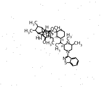 CC1C(C)[C@@H]2[C@H]3C(=O)N(C(C)[C@H]4[C@H](C(C)[C@@H]5CN(c6nsc7ccccc67)CC(C)N5C)CCCC4(C)C)C(=O)[C@H]3C1C2(C)C